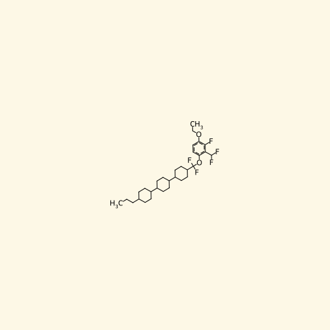 CCCC1CCC(C2CCC(C3CCC(C(F)(F)Oc4ccc(OCC)c(F)c4C(F)F)CC3)CC2)CC1